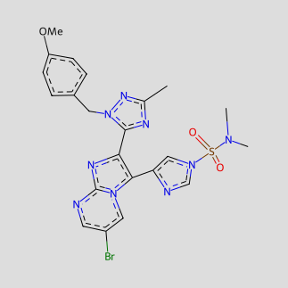 COc1ccc(Cn2nc(C)nc2-c2nc3ncc(Br)cn3c2-c2cn(S(=O)(=O)N(C)C)cn2)cc1